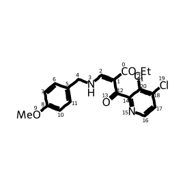 CCOC(=O)C(=CNCc1ccc(OC)cc1)C(=O)c1nccc(Cl)c1Cl